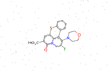 O=C(O)c1cc2c3c(c(N4CCOCC4)c(F)cn3c1=O)-c1ccccc1S2